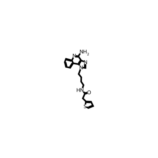 Nc1nc2ccccc2c2c1ncn2CCCCNC(=O)Cc1cccs1